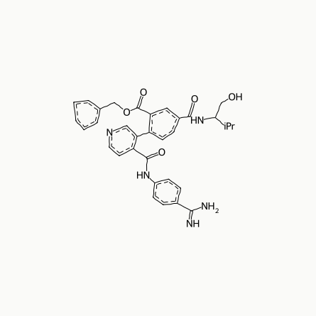 CC(C)C(CO)NC(=O)c1ccc(-c2cnccc2C(=O)Nc2ccc(C(=N)N)cc2)c(C(=O)OCc2ccccc2)c1